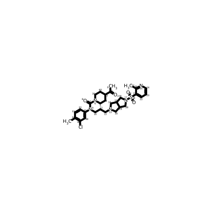 CC(=O)C1CCN(C(=O)N(CCCN2CC3CN(S(=O)(=O)c4cccnc4C)CC3C2)c2ccc(C)c(Cl)c2)CC1